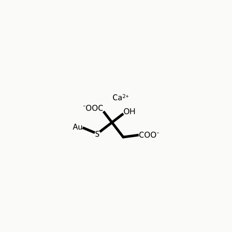 O=C([O-])CC(O)([S][Au])C(=O)[O-].[Ca+2]